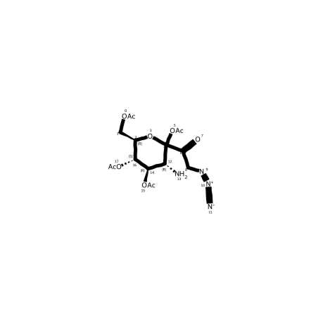 CC(=O)OC[C@H]1OC(OC(C)=O)(C(=O)CN=[N+]=[N-])[C@H](N)[C@@H](OC(C)=O)[C@@H]1OC(C)=O